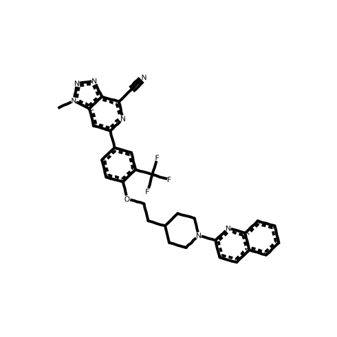 Cn1nnc2c(C#N)nc(-c3ccc(OCCC4CCN(c5ccc6ccccc6n5)CC4)c(C(F)(F)F)c3)cc21